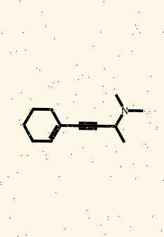 CC(C#CC1=CC[CH]CC1)N(C)C